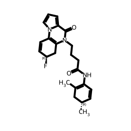 CC1=C(NC(=O)CCCn2c3c(n4cccc4c2=O)C=C[C@H](F)C3)C=C[C@H](C)C1